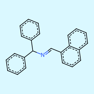 C(=NC(c1ccccc1)c1ccccc1)c1cccc2ccccc12